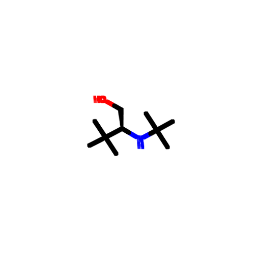 CC(C)(C)N[C@H](CO)C(C)(C)C